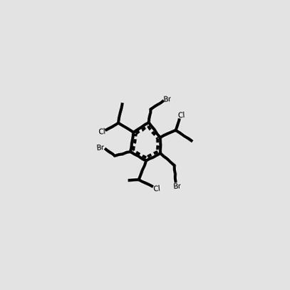 CC(Cl)c1c(CBr)c(C(C)Cl)c(CBr)c(C(C)Cl)c1CBr